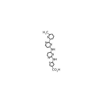 Cc1cccc(-c2nccc(Nc3ccnc(Nc4cc(C(=O)O)cs4)n3)n2)n1